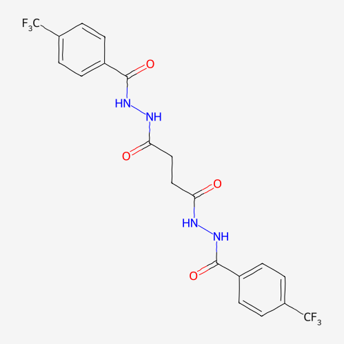 O=C(CCC(=O)NNC(=O)c1ccc(C(F)(F)F)cc1)NNC(=O)c1ccc(C(F)(F)F)cc1